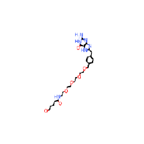 Nc1nc2nc(Cc3ccc(COCCOCCOCCOCCNC(=O)CCCC=O)cc3)[nH]c2c(=O)[nH]1